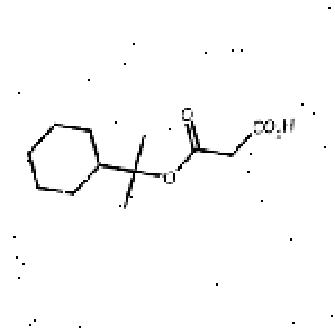 CC(C)(OC(=O)CC(=O)O)C1CCCCC1